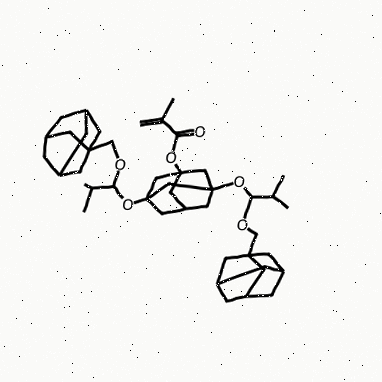 C=C(C)C(=O)OC12CC3CC(OC(OCC45CC6CC(CC(C6)C4)C5)C(C)C)(C1)CC(OC(OCC14CC5CC(CC(C5)C1)C4)C(C)C)(C3)C2